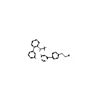 N[C@@H](Cc1ccc(-c2cc(OC(c3ccccc3-c3cccc(Cl)c3)C(F)(F)F)ncn2)cc1)C(=O)O